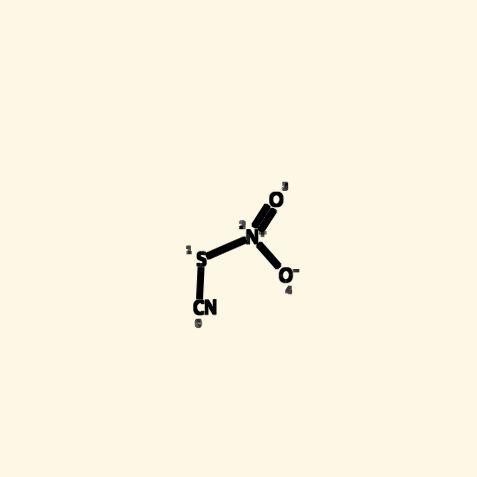 N#CS[N+](=O)[O-]